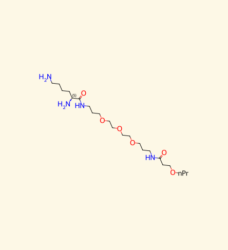 CCCOCCC(=O)NCCCOCCOCCOCCCNC(=O)[C@@H](N)CCCCN